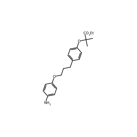 CCOC(=O)C(C)(C)Oc1ccc(CCCOc2ccc(N)cc2)cc1